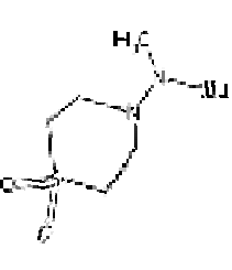 CN(N1CCS(=O)(=O)CC1)C(C)(C)C